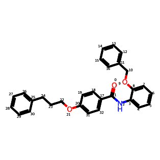 O=C(Nc1ccccc1OCc1ccccc1)c1ccc(OCCCc2ccccc2)cc1